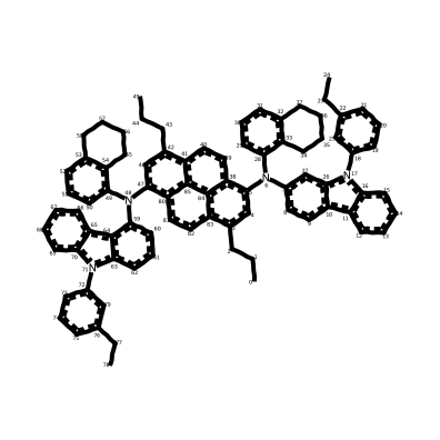 CCCc1cc(N(c2ccc3c4ccccc4n(-c4cccc(CC)c4)c3c2)c2cccc3c2CCCC3)c2ccc3c(CCC)cc(N(c4cccc5c4CCCC5)c4cccc5c4c4ccccc4n5-c4cccc(CC)c4)c4ccc1c2c34